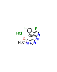 COc1cc(F)ccc1-c1cc(Nc2cc(CS(C)(=N)=O)ccn2)ncc1F.Cl